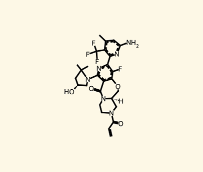 C=CC(=O)N1CCN2C(=O)c3c(N4C[C@@H](O)CC4(C)C)nc(-c4nc(N)cc(C)c4C(F)(F)F)c(F)c3OC[C@H]2C1